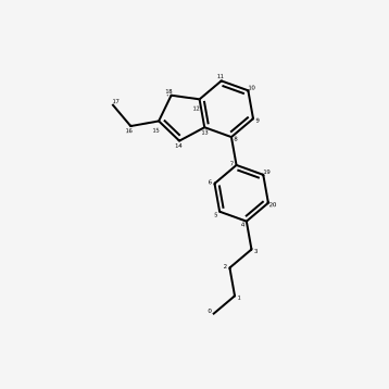 CCCCc1ccc(-c2cccc3c2C=C(CC)[CH]3)cc1